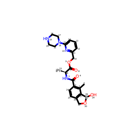 Cc1c(C(=O)N[C@H](C(=O)OCc2cccc(N3CCNCC3)n2)C(C)C)ccc2c1B(O)OC2